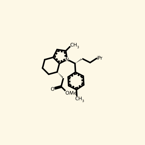 COC(=O)C[C@@H]1CCCc2cc(C)n([C@H](CCC(C)C)c3ccc(C)cc3)c21